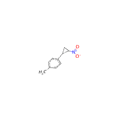 Cc1ccc(C2CC2[N+](=O)[O-])cc1